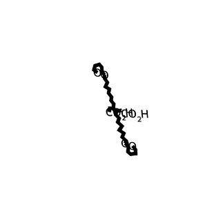 O=C(O)C/C(CCCCCCCCOC1CCCCO1)=C(\CCCCCCCCOC1CCCCO1)CC(=O)O